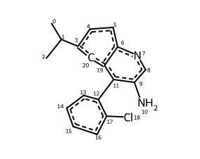 CC(C)c1ccc2ncc(N)c(-c3ccccc3Cl)c2c1